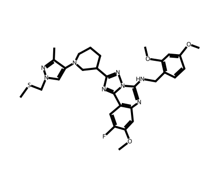 COc1ccc(CNc2nc3cc(OC)c(F)cc3c3nc(C4CCCN(c5cn(CSC)nc5C)C4)nn23)c(OC)c1